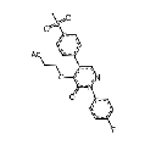 CC(=O)CCOc1c(-c2ccc(S(C)(=O)=O)cc2)cnn(-c2ccc(F)cc2)c1=O